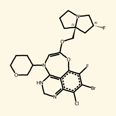 Fc1c(Br)c(Cl)c2c3c1OC(OC[C@@]14CCCN1C[C@H](F)C4)=CN(C1CCCOC1)C=3NCN=2